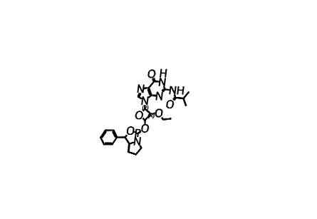 CCO[C@H]1C(OP2OC(c3ccccc3)C3CCCN32)O[C@H]1n1cnc2c(=O)[nH]c(NC(=O)C(C)C)nc21